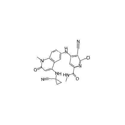 CNC(=O)c1cc(Nc2ccc3c(c2)c(NC2(C#N)CC2)cc(=O)n3C)c(C#N)c(Cl)n1